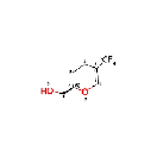 OC[C@H]1CCC(C(F)(F)F)=CO1